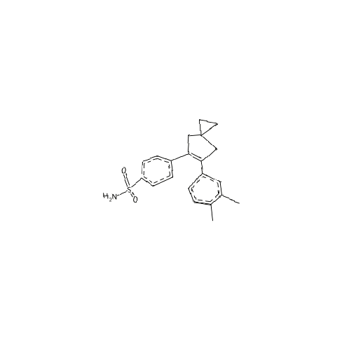 Cc1ccc(C2=C(c3ccc(S(N)(=O)=O)cc3)CC3(CC3)C2)cc1C